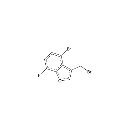 Fc1ccc(Br)c2c(CBr)coc12